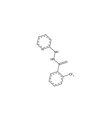 O=C(NNc1ccccn1)c1ccccc1C(F)(F)F